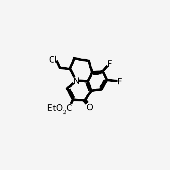 CCOC(=O)c1cn2c3c(c(F)c(F)cc3c1=O)CCC2CCl